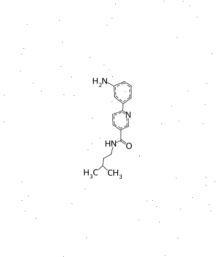 CC(C)CCNC(=O)c1ccc(-c2cccc(N)c2)nc1